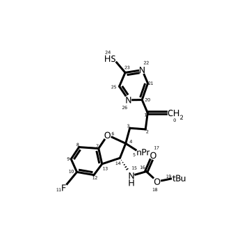 C=C(CCC1(CCC)Oc2ccc(F)cc2[C@H]1NC(=O)OC(C)(C)C)c1cnc(S)cn1